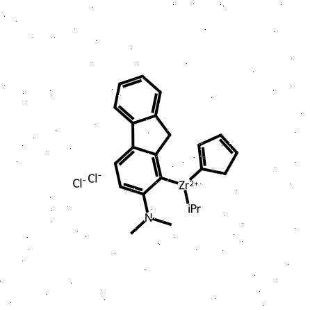 C[CH](C)[Zr+2]([C]1=CC=CC1)[c]1c(N(C)C)ccc2c1Cc1ccccc1-2.[Cl-].[Cl-]